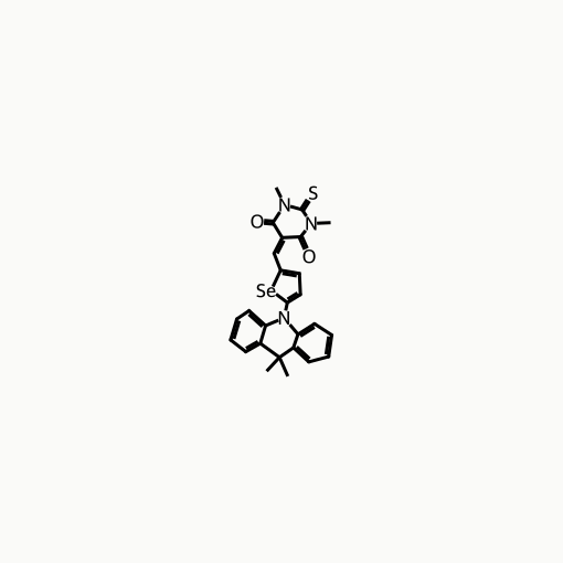 CN1C(=O)C(=Cc2ccc(N3c4ccccc4C(C)(C)c4ccccc43)[se]2)C(=O)N(C)C1=S